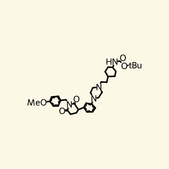 COc1ccc(CN2C(=O)CCC(c3cccc(N4CCN(CCC5CCC(NC(=O)OC(C)(C)C)CC5)CC4)c3)C2=O)cc1